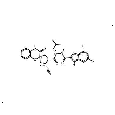 CC(C)C[C@@H](C(=O)N1C[C@@]2(C[C@H]1C#N)Oc1ccccc1NC2=O)N(C)C(=O)c1cc2c(F)cc(F)cc2[nH]1